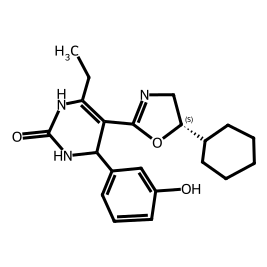 CCC1=C(C2=NC[C@H](C3CCCCC3)O2)C(c2cccc(O)c2)NC(=O)N1